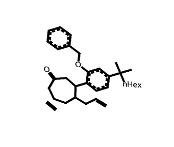 C=C.C=CCC1CCCC(=O)CC1c1ccc(C(C)(C)CCCCCC)cc1OCc1ccccc1